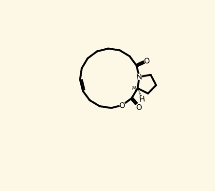 O=C1OCCCC=CCCCCCCC(=O)N2CCC[C@@H]12